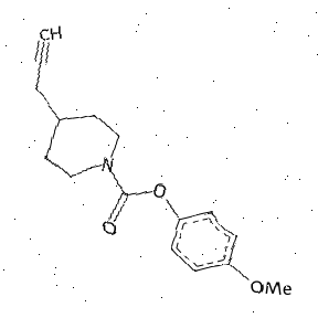 C#CCC1CCN(C(=O)Oc2ccc(OC)cc2)CC1